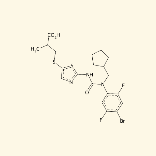 CC(CSc1cnc(NC(=O)N(CC2CCCC2)c2cc(F)c(Br)cc2F)s1)C(=O)O